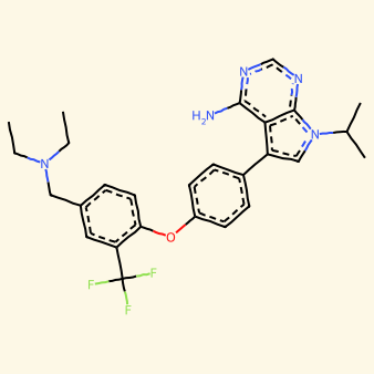 CCN(CC)Cc1ccc(Oc2ccc(-c3cn(C(C)C)c4ncnc(N)c34)cc2)c(C(F)(F)F)c1